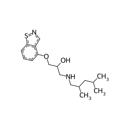 CC(C)CC(C)CNCC(O)COc1cccc2sncc12